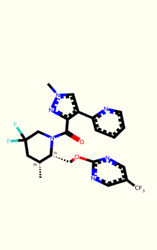 C[C@@H]1CC(F)(F)CN(C(=O)c2nn(C)cc2-c2ccccn2)[C@@H]1COc1ncc(C(F)(F)F)cn1